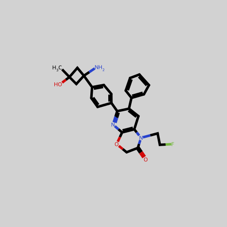 CC1(O)CC(N)(c2ccc(-c3nc4c(cc3-c3ccccc3)N(CCF)C(=O)CO4)cc2)C1